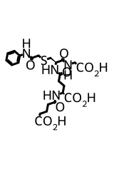 O=C(O)CCCC(=O)N[C@@H](CCC(=O)N[C@@H](CSCC(=O)Nc1ccccc1)C(=O)NCC(=O)O)C(=O)O